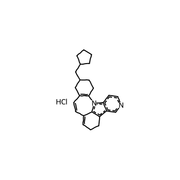 C1=CC2=C(CCC(CC3CCCC3)C2)n2c3c(c4cnccc42)CCC=C13.Cl